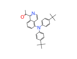 CC(=O)c1nccc2c(N(c3ccc(C(C)(C)C)cc3)c3ccc(C(C)(C)C)cc3)cccc12